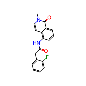 Cn1ccc2c(NC(=O)Cc3ccccc3F)cccc2c1=O